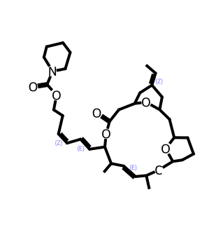 C/C=C1\CC2CC(=O)OC(/C=C/C=C\CCOC(=O)N3CCCCC3)C(C)/C=C/C(C)CC3CCCC(CC(C1)O2)O3